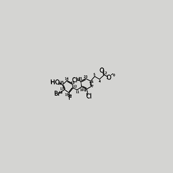 COC(=O)CCc1cc(Cl)c(Cc2ccc(O)c(Br)c2F)c(Cl)c1